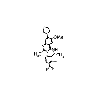 COc1cc2c(N[C@H](C)c3cccc(C(F)F)c3F)nc(C)nc2cc1N1CCCC1